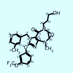 Cc1cncc(Cn2c(Oc3cccc(OC(F)(F)F)c3)nc3c2C(=O)N(CCCO)C2OC2N3C)c1